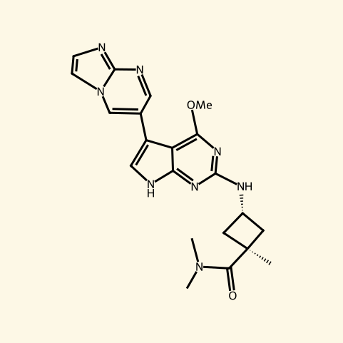 COc1nc(N[C@H]2C[C@](C)(C(=O)N(C)C)C2)nc2[nH]cc(-c3cnc4nccn4c3)c12